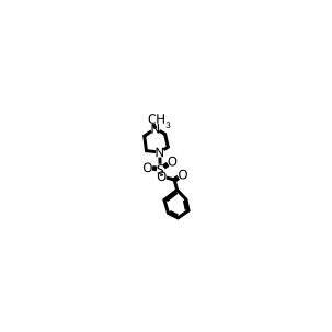 CN1CCN(S(=O)(=O)OC(=O)c2ccccc2)CC1